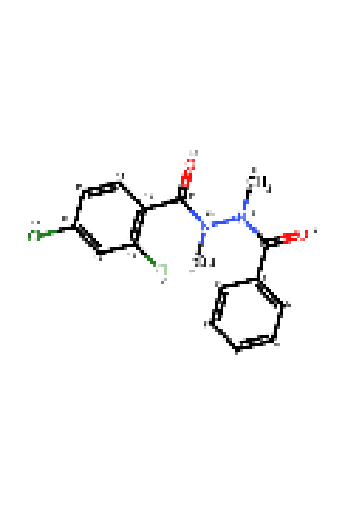 CN(C(=O)c1ccccc1)N(C(=O)c1ccc(Cl)cc1Cl)C(C)(C)C